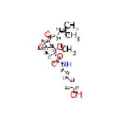 COC1C(OC(=O)NCCCCCCO)CC[C@]23OC2C2(O[C@@H]2CC=C(C)C)C13